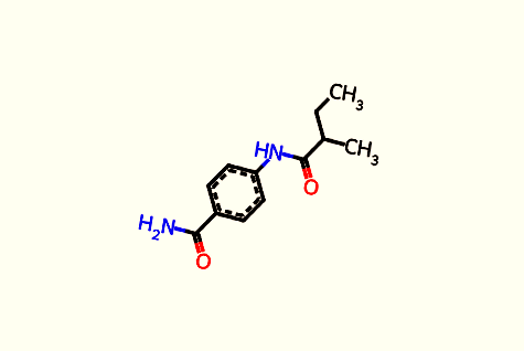 CCC(C)C(=O)Nc1ccc(C(N)=O)cc1